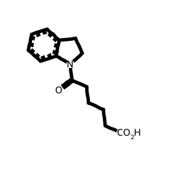 O=C(O)CCCCC(=O)N1CCc2ccccc21